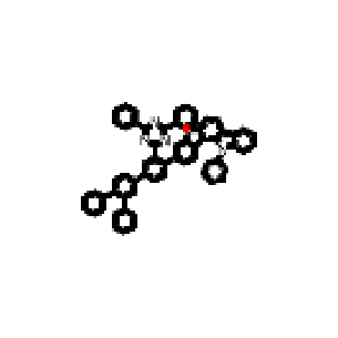 c1ccc(-c2nc(-c3ccccc3)nc(-c3cc(-c4ccc(-c5ccccc5)c(-c5ccccc5)c4)ccc3-c3ccc4c(c3)sc3ccc5c6ccccc6n(-c6ccccc6)c5c34)n2)cc1